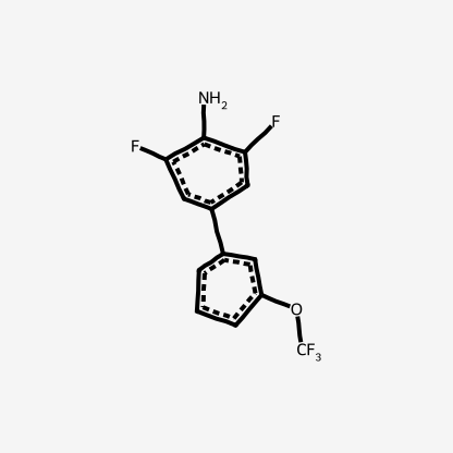 Nc1c(F)cc(-c2cccc(OC(F)(F)F)c2)cc1F